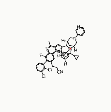 Cc1nc2c(F)c(-c3cccc(Cl)c3Cl)c(CCC#N)cc2c2c1cc([C@H]1[C@H]3C[C@H](CN(c4cccnc4)C3)N1C(=O)C1CC1)n2[C@H]1[C@H]2CN[C@@H]1C2